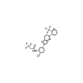 O=C(CC(F)(F)F)Nc1cc(-c2cn3nc(-c4cccnc4C(F)(F)F)ccc3n2)ccc1Cl